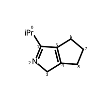 CC(C)C1=NCC2=C1CCC2